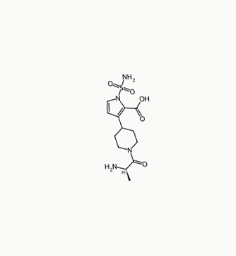 C[C@@H](N)C(=O)N1CCC(c2ccn(S(N)(=O)=O)c2C(=O)O)CC1